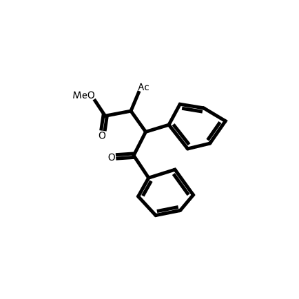 COC(=O)C(C(C)=O)C(C(=O)c1ccccc1)c1ccccc1